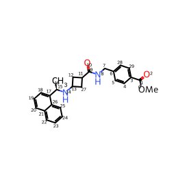 COC(=O)c1ccc(CNC(=O)C2CC(N[C@H](C)c3cccc4ccccc34)C2)cc1